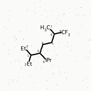 CCC(CC)C(CCC(C)C(F)(F)F)C(C)C